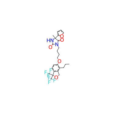 CCCc1c(OCCCCN2C(=O)NC(C)(c3ccco3)C2=O)ccc2c1COC2(C(F)(F)F)C(F)(F)F